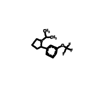 CC(C)N1CCCC1c1cccc(OC(F)(F)F)c1